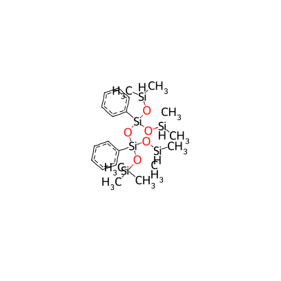 C[SiH](C)O[Si](O[SiH](C)C)(O[Si](O[SiH](C)C)(O[Si](C)(C)C)c1ccccc1)c1ccccc1